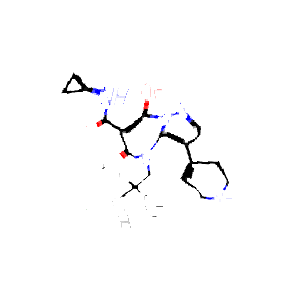 CC(C)(C)Cn1c(=O)c(C(=O)NC2CC2)c(O)n2ncc(C3=CCNCC3)c12.Cl